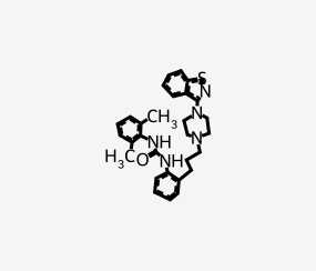 Cc1cccc(C)c1NC(=O)Nc1ccccc1CCCN1CCN(c2nsc3ccccc23)CC1